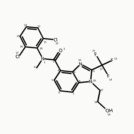 CN(C(=O)c1cccc2c1nc(C(F)(F)F)n2CCO)c1c(Cl)cccc1Cl